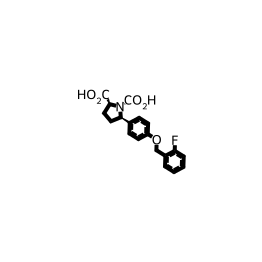 O=C(O)[C@@H]1CC[C@H](c2ccc(OCc3ccccc3F)cc2)N1C(=O)O